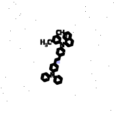 Cc1cc(C)cc(N(c2ccc(/C=C/c3ccc(N(c4ccccc4)c4ccccc4)cc3)cc2)c2cccc3ccccc23)c1